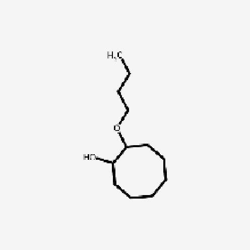 CCCCOC1CCCCCCC1O